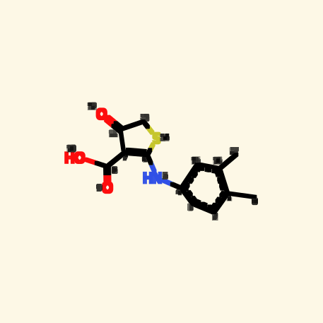 Cc1ccc(NC2=C(C(=O)O)C(=O)CS2)cc1C